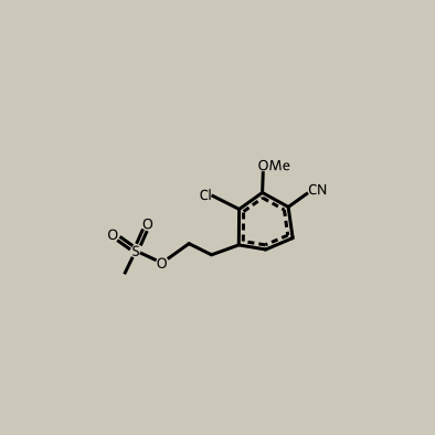 COc1c(C#N)ccc(CCOS(C)(=O)=O)c1Cl